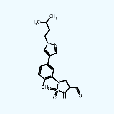 CC(C)CCn1cc(-c2ccc(O)c(N3CC(C=O)NS3(=O)=O)c2)cn1